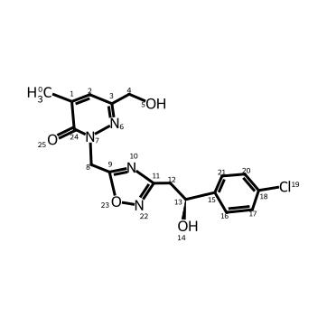 Cc1cc(CO)nn(Cc2nc(C[C@H](O)c3ccc(Cl)cc3)no2)c1=O